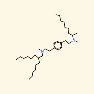 CCCCCCCC(C)N(C)CCc1ccc(CCN(C)CC(CCCCCC)CCCCCC)cc1